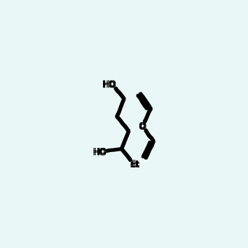 C=COC=C.CCC(O)CCCO